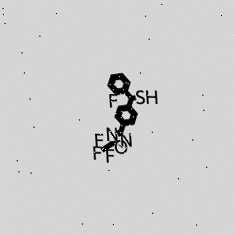 Fc1ccccc1C(S)c1ccc(-c2noc(C(F)(F)F)n2)cc1